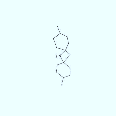 CC1CCC(C)(NC2(C)CCC(C)CC2)CC1